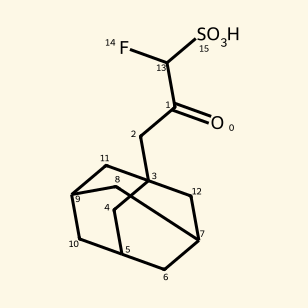 O=C(CC12CC3CC(CC(C3)C1)C2)C(F)S(=O)(=O)O